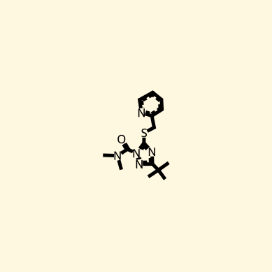 CN(C)C(=O)n1nc(C(C)(C)C)nc1SCc1ccccn1